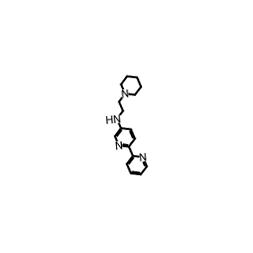 c1ccc(-c2ccc(NCCN3CCCCC3)cn2)nc1